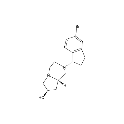 O[C@@H]1C[C@H]2CN([C@H]3CCc4cc(Br)ccc43)CCN2C1